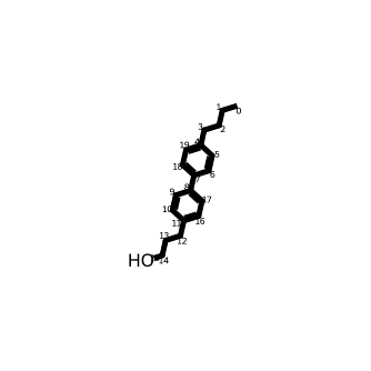 CCCCc1ccc(-c2ccc(CCCO)cc2)cc1